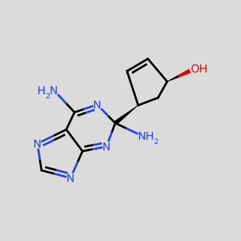 NC1=NC(N)([C@H]2C=C[C@@H](O)C2)N=C2N=CN=C12